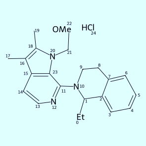 CCC1c2ccccc2CCN1c1nccc2c(C)c(C)n(COC)c12.Cl